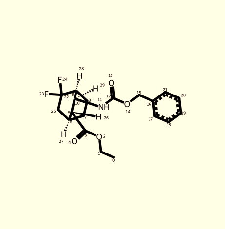 CCOC(=O)[C@@H]1[C@H]2CC[C@@H]([C@H]1NC(=O)OCc1ccccc1)C(F)(F)C2